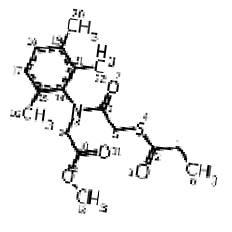 CCC(=O)SCC(=O)N(CC(=O)OC)c1c(C)ccc(C)c1C